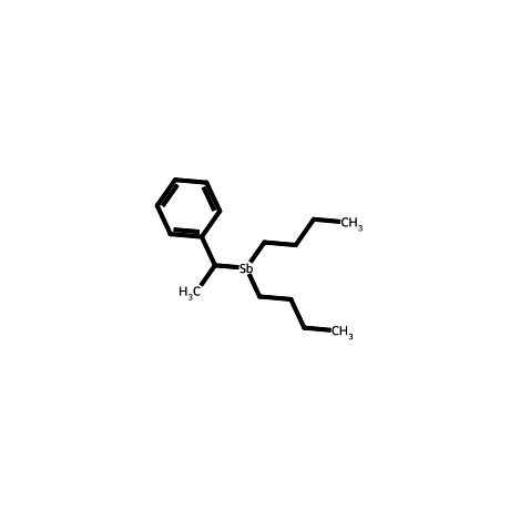 CCC[CH2][Sb]([CH2]CCC)[CH](C)c1ccccc1